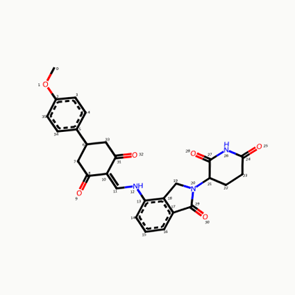 COc1ccc(C2CC(=O)C(=CNc3cccc4c3CN(C3CCC(=O)NC3=O)C4=O)C(=O)C2)cc1